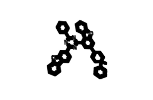 CC1(c2ccccc2)C=CC(c2cc(-c3nc(-c4ccccc4)nc(-c4ccc5c(c4)oc4ccccc45)n3)c3c(c2)oc2ccccc23)=CC1